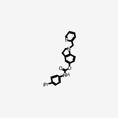 CC(C)c1ccc(NC(=O)Oc2ccc3c(c2)CCN3Cc2ccccn2)cc1